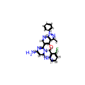 Cc1nn(-c2ccccc2)c2ncc(-c3nc(N)cc(N)n3)c(OCc3ccccc3F)c12